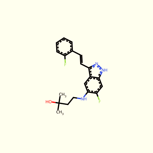 CC(C)(O)CCNc1cc2c(/C=C/c3ccccc3F)n[nH]c2cc1F